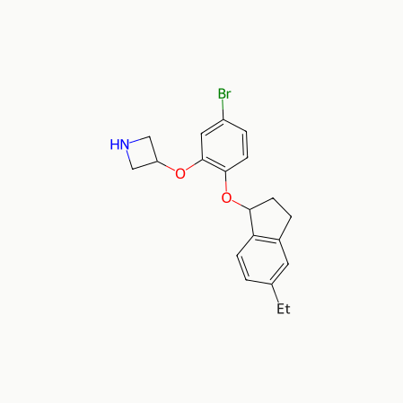 CCc1ccc2c(c1)CCC2Oc1ccc(Br)cc1OC1CNC1